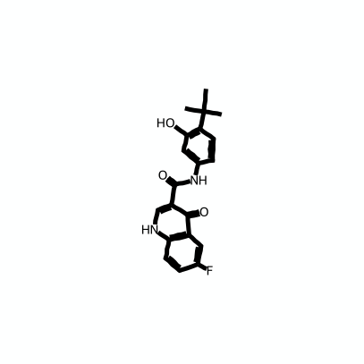 CC(C)(C)c1ccc(NC(=O)c2c[nH]c3ccc(F)cc3c2=O)cc1O